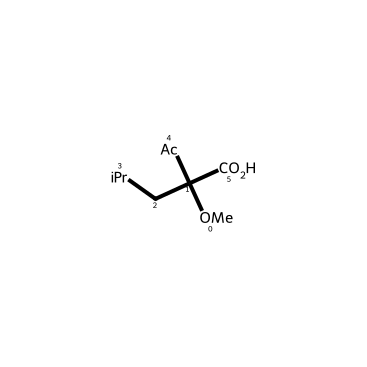 COC(CC(C)C)(C(C)=O)C(=O)O